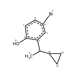 CC(c1cc(Br)ccc1O)C1CC1